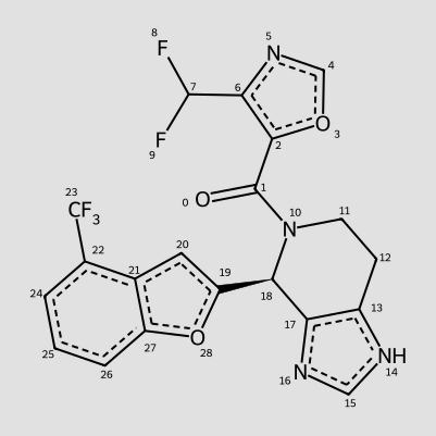 O=C(c1ocnc1C(F)F)N1CCc2[nH]cnc2[C@H]1c1cc2c(C(F)(F)F)cccc2o1